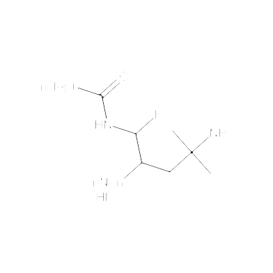 CCCCCCCCCC(CC(C)(C)N)C(CC)NC(=O)CCCCCCC.I